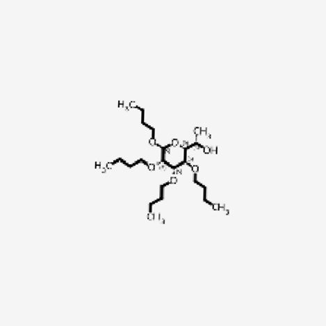 CCCCO[C@H]1O[C@H]([C@H](C)O)[C@@H](OCCCC)[C@H](OCCCC)[C@@H]1OCCCC